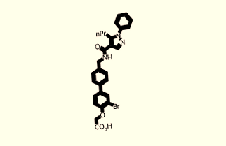 CCCc1c(C(=O)NCc2ccc(-c3ccc(OCC(=O)O)c(Br)c3)cc2)cnn1-c1ccccc1